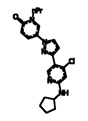 CCCn1cc(-n2ccc(-c3cnc(NC4CCCC4)cc3Cl)n2)ccc1=O